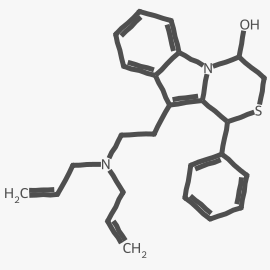 C=CCN(CC=C)CCc1c2n(c3ccccc13)C(O)CSC2c1ccccc1